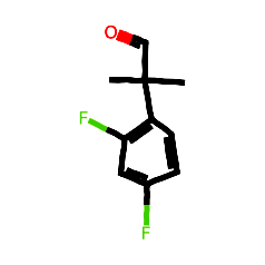 CC(C)(C=O)c1ccc(F)cc1F